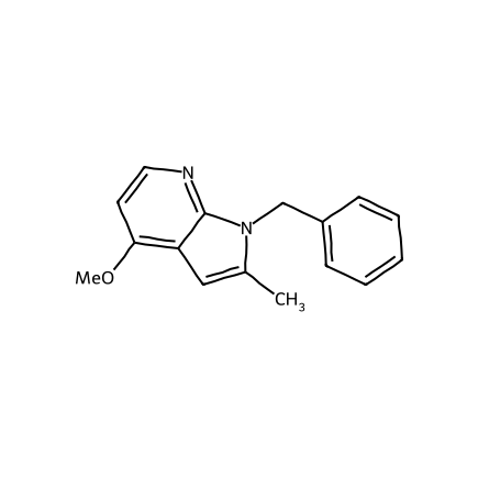 COc1ccnc2c1cc(C)n2Cc1ccccc1